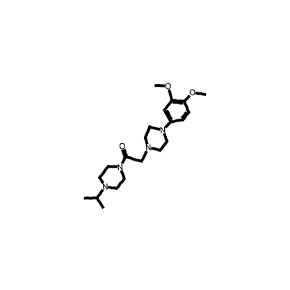 COc1ccc(N2CCN(CC(=O)N3CCN(C(C)C)CC3)CC2)cc1OC